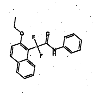 CCOc1ccc2ccccc2c1C(F)(F)C(=O)Nc1ccccc1